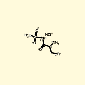 CC(C)C[C@H](N)C(=O)NS(C)(=O)=O.Cl